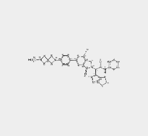 O=C(Nc1ccccn1)C(c1ncn2c1CCC2)N1Cc2c(F)cc(-c3ccc(N4CC5(CN(C(=O)O)C5)C4)cc3)cc2C1=O